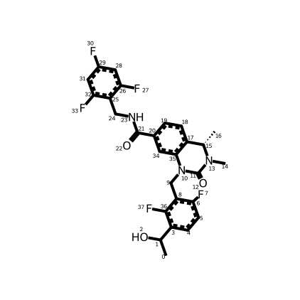 CC(O)c1ccc(F)c(CN2C(=O)N(C)[C@@H](C)c3ccc(C(=O)NCc4c(F)cc(F)cc4F)cc32)c1F